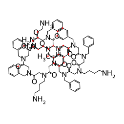 C[C@@H](c1ccccc1)N(CC(=O)N(CCCCN)CC(=O)N(CC(=O)N(CC(=O)N(CCCCN)CC(=O)N(CC(=O)N(CC(N)=O)Cc1ccccc1)Cc1ccccc1)Cc1ccccc1)Cc1ccccc1)C(=O)CN(Cc1ccccc1)C(=O)CN(CCCCN)C(=O)CN(Cc1ccccc1)C(=O)CN(Cc1ccccc1)C(=O)CNCCCCN